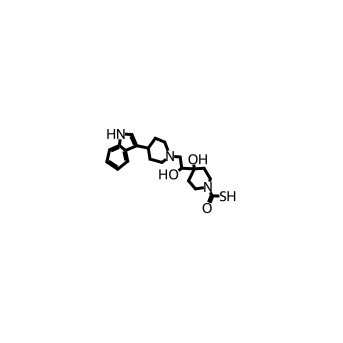 O=C(S)N1CCC(O)(C(O)CN2CCC(c3c[nH]c4ccccc34)CC2)CC1